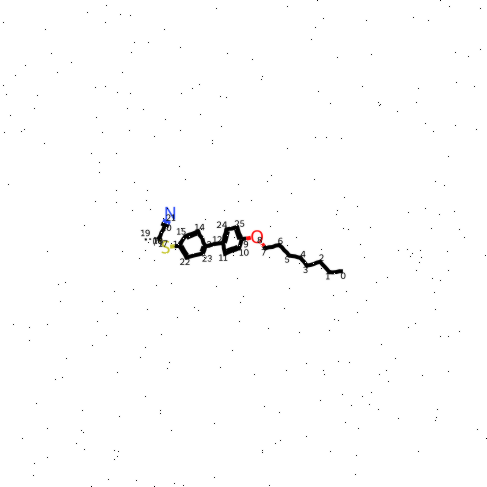 CCCCCCCCOc1ccc(-c2ccc(S[C@H](C)C#N)cc2)cc1